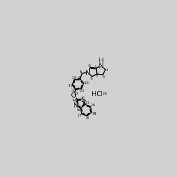 C1=C2NCCC2CN1Cc1ccc(Oc2nc3ccccc3s2)cc1.Cl